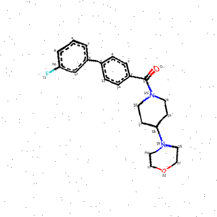 O=C(c1ccc(-c2cc[c]c(F)c2)cc1)N1CCC(N2CCOCC2)CC1